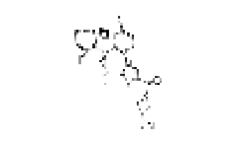 C[C@@H]1N=C(c2c(F)cccc2F)c2c(ccc(Cl)c2Cl)-n2cc(C(=O)N3CC(C#N)C3)nc21